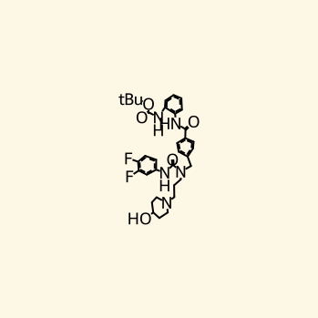 CC(C)(C)OC(=O)Nc1ccccc1NC(=O)c1ccc(CN(CCCN2CCC(O)CC2)C(=O)Nc2ccc(F)c(F)c2)cc1